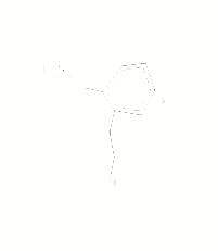 Cl.NOc1ccccc1CCO